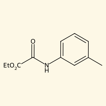 CCOC(=O)C(=O)Nc1cccc(C)c1